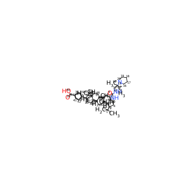 C=C(C)[C@@H]1CC[C@]2(NC(=O)NCC(C)(C)N3CCCCC3)CC[C@]3(C)[C@H](CC[C@@H]4[C@@]5(C)CC=C(c6ccc(C(=O)O)cc6)C(C)(C)[C@@H]5CC[C@]43C)[C@@H]12